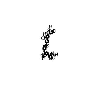 Cn1cc(-c2ccc(CC3CCN(CC(=O)C4CCN(c5ccc(NC6CCC(=O)NC6=O)cc5Cl)CC4)CC3)c(OC(F)(F)F)c2)c2cn[nH]c2c1=O